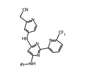 CC(C)Nc1cc(Nc2ccnc(CC#N)c2)nc(-c2cccc(C(F)(F)F)n2)n1